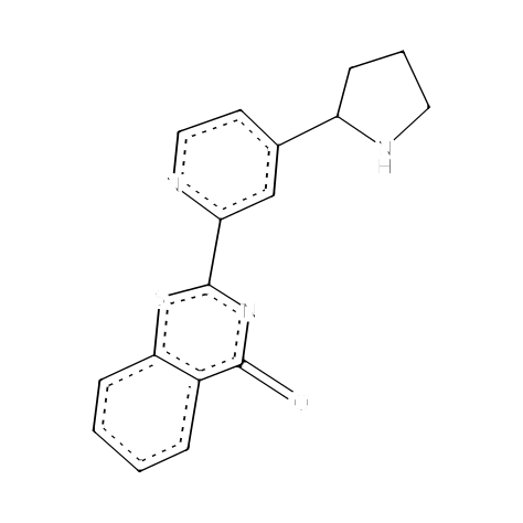 O=c1nc(-c2cc(C3CCCN3)ccn2)sc2ccccc12